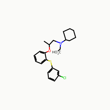 CC(CN(CC(=O)O)C1CCCCC1)Oc1ccccc1Sc1cccc(Cl)c1